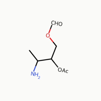 CC(=O)OC(COC=O)C(C)N